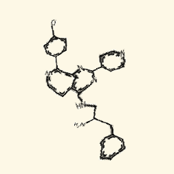 N[C@@H](CNc1nc(-c2ccncc2)nc2c(-c3ccc(Cl)cc3)nccc12)Cc1ccccc1